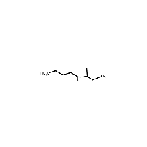 O=C(O)CCCNC(=O)CC(F)(F)F